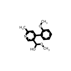 COc1ccccc1-c1cc(C)ncc1C(O)OC